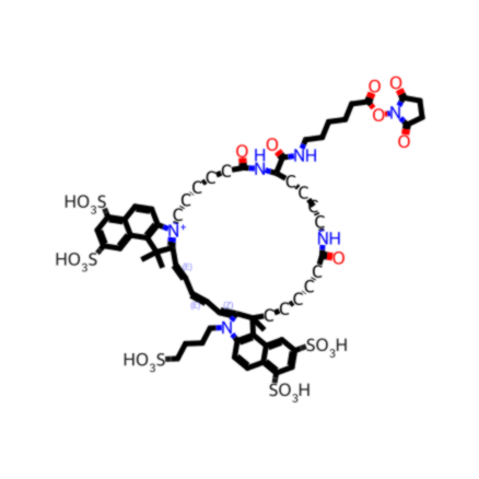 CC1(C)C2=[N+](CCCCCC(=O)NC(C(=O)NCCCCCC(=O)ON3C(=O)CCC3=O)CCCCNC(=O)CCCCCC3(C)/C(=C/C=C/C=C/2)N(CCCCS(=O)(=O)O)c2ccc4c(S(=O)(=O)O)cc(S(=O)(=O)O)cc4c23)c2ccc3c(S(=O)(=O)O)cc(S(=O)(=O)O)cc3c21